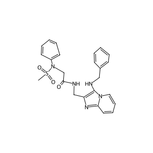 CS(=O)(=O)N(CC(=O)NCc1nc2ccccn2c1NCc1ccccc1)c1ccccc1